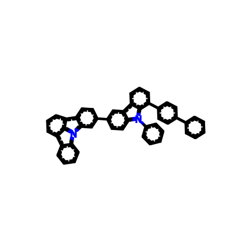 c1ccc(-c2ccc(-c3cccc4c5cc(-c6ccc7c8cccc9c%10ccccc%10n(c7c6)c98)ccc5n(-c5ccccc5)c34)cc2)cc1